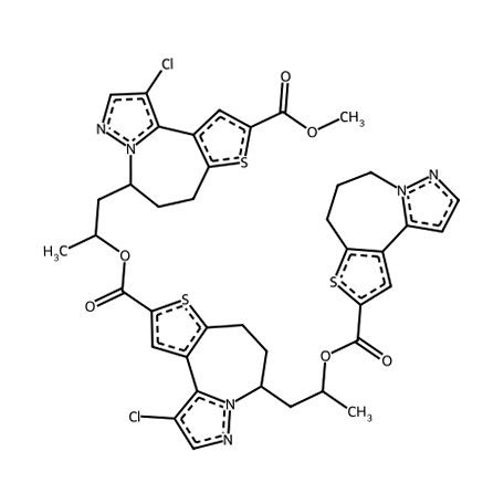 COC(=O)c1cc2c(s1)CCC(CC(C)OC(=O)c1cc3c(s1)CCC(CC(C)OC(=O)c1cc4c(s1)CCCn1nccc1-4)n1ncc(Cl)c1-3)n1ncc(Cl)c1-2